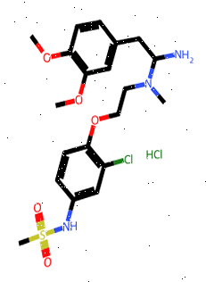 COc1ccc(CC(N)N(C)CCOc2ccc(NS(C)(=O)=O)cc2Cl)cc1OC.Cl